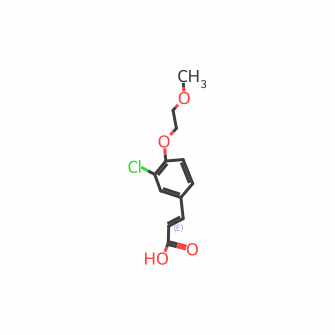 COCCOc1ccc(/C=C/C(=O)O)cc1Cl